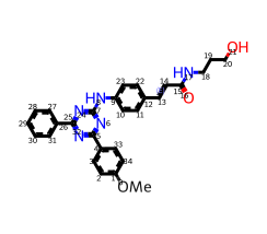 COc1ccc(-c2nc(Nc3ccc(/C=C/C(=O)NCCCO)cc3)nc(-c3ccccc3)n2)cc1